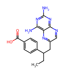 CCC(Cc1cnc2nc(N)nc(N)c2n1)c1ccc(C(=O)O)cc1